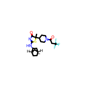 CC1(C2CCN(C(=O)CC(F)(F)F)CC2)SC(N[C@H]2C[C@@H]3CC[C@H]2C3)=NC1=O